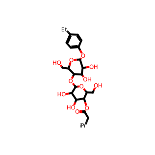 CCc1ccc(OC2OC(CO)C(OC3OC(CO)C(OC(=O)CC(C)C)C(O)C3O)C(O)C2O)cc1